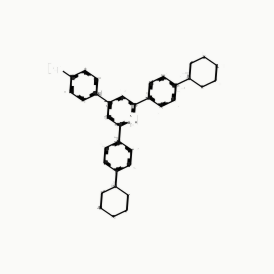 Brc1ccc(-c2cc(-c3ccc(C4CCCCC4)cc3)nc(-c3ccc(C4CCCCC4)cc3)c2)cc1